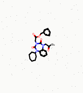 CC(C)(C)C(=O)CN1C(=O)N(CC(=O)OCc2ccccc2)C(=O)N(C2CCCCCC2)c2ccccc21